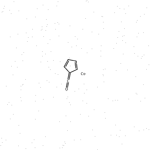 O=C=C1C=CC=C1.[Co]